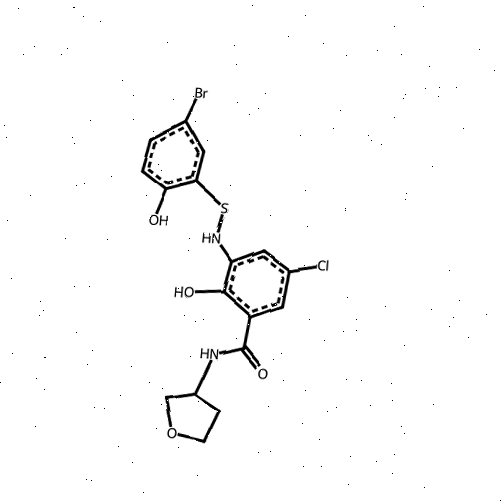 O=C(NC1CCOC1)c1cc(Cl)cc(NSc2cc(Br)ccc2O)c1O